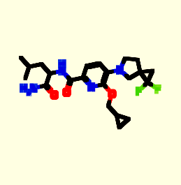 CC(C)CC(NC(=O)c1ccc(N2CCC3(C2)CC3(F)F)c(OCC2CC2)n1)C(N)=O